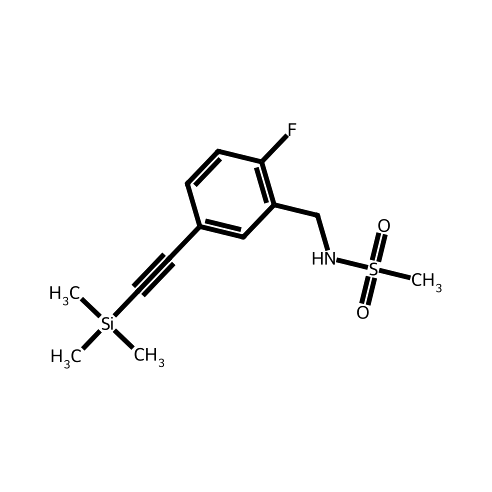 C[Si](C)(C)C#Cc1ccc(F)c(CNS(C)(=O)=O)c1